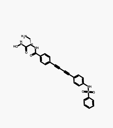 NC[C@H](NC(=O)c1ccc(C#CC#Cc2ccc(NS(=O)(=O)c3ccccc3)cc2)cc1)C(=O)NO